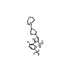 O=[N+]([O-])c1cn(C2CCC(N3CCOCC3)CC2)nc1-c1nc(C(F)(F)F)ccc1F